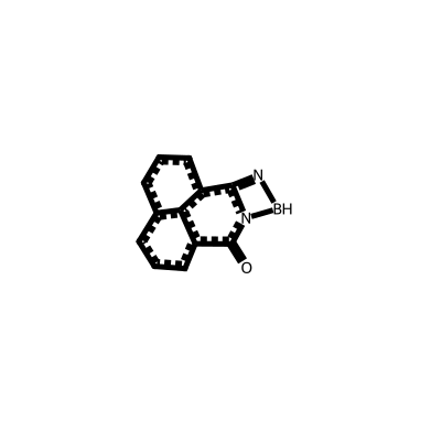 O=c1c2cccc3cccc(c4n1BN=4)c32